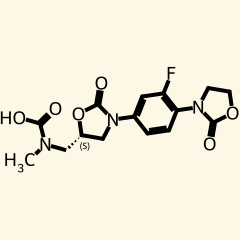 CN(C[C@H]1CN(c2ccc(N3CCOC3=O)c(F)c2)C(=O)O1)C(=O)O